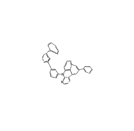 c1ccc(-c2cccc(-c3cccc(N4c5ncccc5-c5cc(-c6ccccc6)cc6cccc4c56)c3)c2)cc1